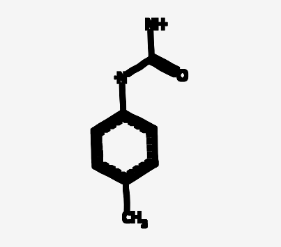 Cc1ccc([N]C([NH])=O)cc1